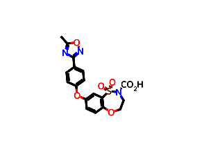 Cc1nc(-c2ccc(Oc3ccc4c(c3)S(=O)(=O)N(C(=O)O)CCO4)cc2)no1